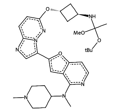 COC(C)(N[C@H]1C[C@H](Oc2ccc3ncc(-c4cc5c(N(C)C6CCN(C)CC6)nccc5o4)n3n2)C1)OC(C)(C)C